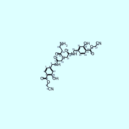 N#CCOC(=O)c1ccc(CNC(=O)CN(CC(=O)NCc2ccc(C(=O)OCC#N)c(O)c2)C(=O)CCN)cc1O